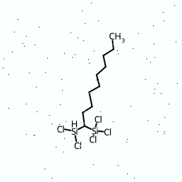 CCCCCCCCCC([SiH](Cl)Cl)[Si](Cl)(Cl)Cl